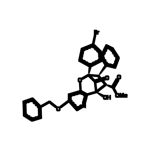 COC(=O)[C@H]1[C@@H](c2ccccc2)[C@]2(c3ccc(Br)cc3)Oc3cc(OCc4ccccc4)cnc3[C@@]1(O)C2=O